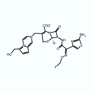 Nc1nc(/C(=N/OCF)C(=O)N[C@@H]2C(=O)N3C(C(=O)[O-])=C(Cn4cc[n+]5c(CO)ccc-5c4)CS[C@H]23)cs1